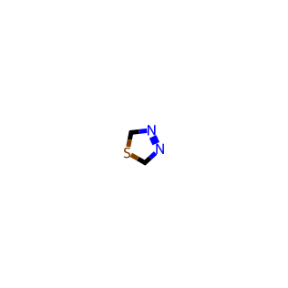 C1N=NCS1